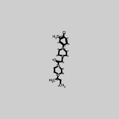 CCC(C)N1CCN(C(=O)CN2CCN(c3ccc(Cl)c(C)c3)CC2)CC1